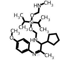 CNCO[Si](OCNC(/C(C)=N\c1ccc(OC)cc1)C1CCCC1)(C(C)C)C(C)C